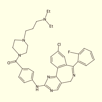 CCN(CC)CCCN1CCN(C(=O)c2ccc(Nc3ncc4c(n3)-c3ccc(Cl)cc3C(c3ccccc3F)=NC4)cc2)CC1